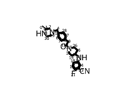 C[C@H]1CN(Cc2ccc(CC(=O)N3CCC(Nc4ccc(F)c(C#N)c4)CC3)cc2)CCN1